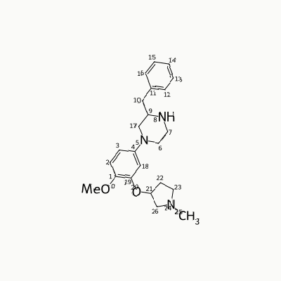 COc1ccc(N2CCNC(Cc3ccccc3)C2)cc1OC1CCN(C)C1